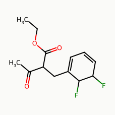 CCOC(=O)C(CC1=CC=CC(F)C1F)C(C)=O